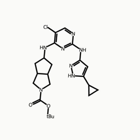 CC(C)(C)OC(=O)N1CC2CC(Nc3nc(Nc4cc(C5CC5)[nH]n4)ncc3Cl)CC2C1